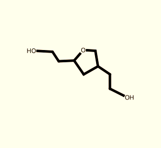 OCCC1COC(CCO)C1